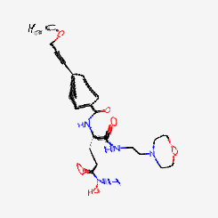 COCC#Cc1ccc(C(=O)N[C@@H](CCC(=O)NO)C(=O)NCCN2CCOCC2)cc1